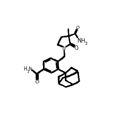 CC1(C(N)=O)CCN(Cc2ccc(C(N)=O)cc2C23CC4CC(CC(C4)C2)C3)C1=O